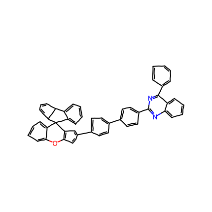 C1=CC2c3ccccc3C3(c4ccccc4Oc4ccc(-c5ccc(-c6ccc(-c7nc(-c8ccccc8)c8ccccc8n7)cc6)cc5)cc43)C2C=C1